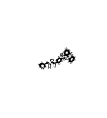 O=C(NCc1cccnc1)Nc1ccc(S(=O)(=O)c2cccc3c2Oc2ccccc2S3)cc1